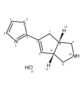 C1=C(c2nccs2)C[C@@H]2CNC[C@H]12.Cl